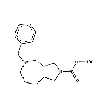 CC(C)(C)OC(=O)N1CC2CCCN(Cc3ccccc3)CC2C1